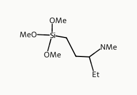 CCC(CC[Si](OC)(OC)OC)NC